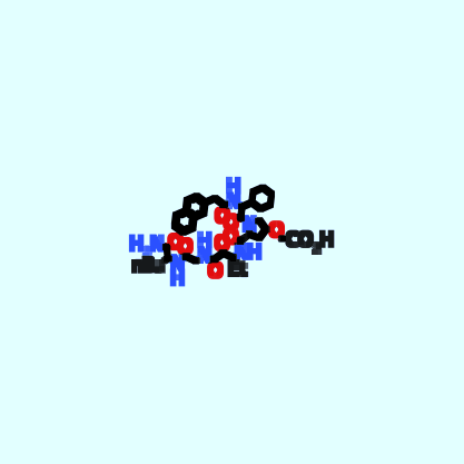 CCCCC(NC(=O)CNC(=O)C(=O)C(CC)NC(=O)[C@@H]1C[C@@H](OCC(=O)O)CN1C(=O)C(NC(=O)Cc1ccc2ccccc2c1)C1CCCCC1)C(N)=O